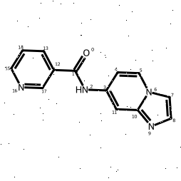 O=C(Nc1ccn2ccnc2c1)c1cccnc1